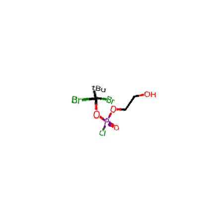 CC(C)(C)C(Br)(Br)OP(=O)(Cl)OCCO